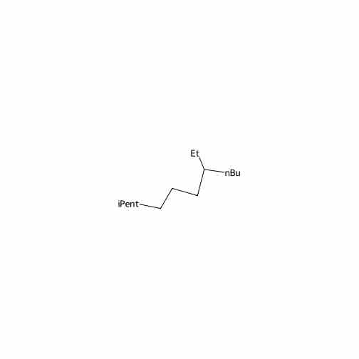 CCCCC(CC)CCCC(C)CCC